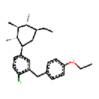 CCOc1ccc(Cc2cc([C@@H]3C[C@H](CC)[C@@H](C)[C@H](C)[C@H]3C)ccc2Cl)cc1